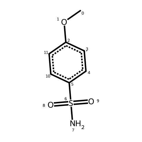 COc1[c]cc(S(N)(=O)=O)cc1